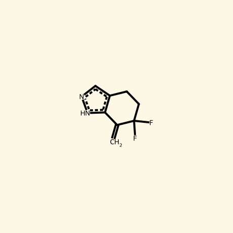 C=C1c2[nH]ncc2CCC1(F)F